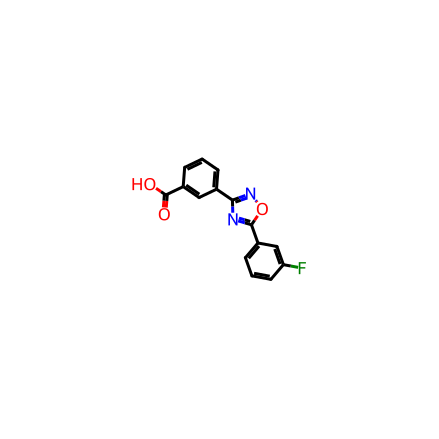 O=C(O)c1cccc(-c2noc(-c3cccc(F)c3)n2)c1